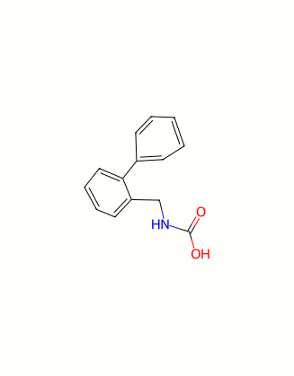 O=C(O)NCc1ccccc1-c1ccccc1